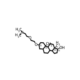 CN(C)CCOCCO[C@H]1CC[C@@]2(C)C(CCC3C2CC[C@@]2(C)C3CC[C@@H]2O)C1